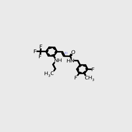 CCCNc1cc(C(F)(F)F)ccc1/C=C/C(=O)NCc1cc(F)c(C)c(F)c1